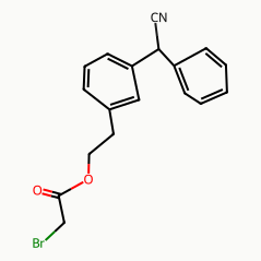 N#CC(c1ccccc1)c1cccc(CCOC(=O)CBr)c1